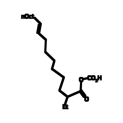 CCCCCCCCC=CCCCCCCC(CC)C(=O)OC(=O)O